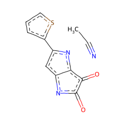 CC#N.O=c1nc2cc(-c3cccs3)nc-2c1=O